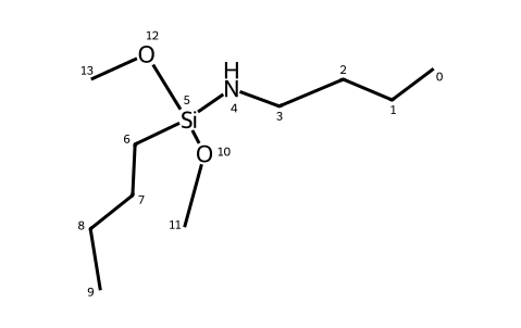 CCCCN[Si](CCCC)(OC)OC